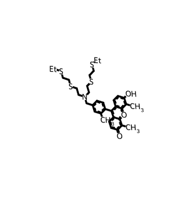 CCSCCSCCN(CCSCCSCC)Cc1ccc(-c2c3ccc(=O)c(C)c-3oc3c(C)c(O)ccc23)c(C)c1